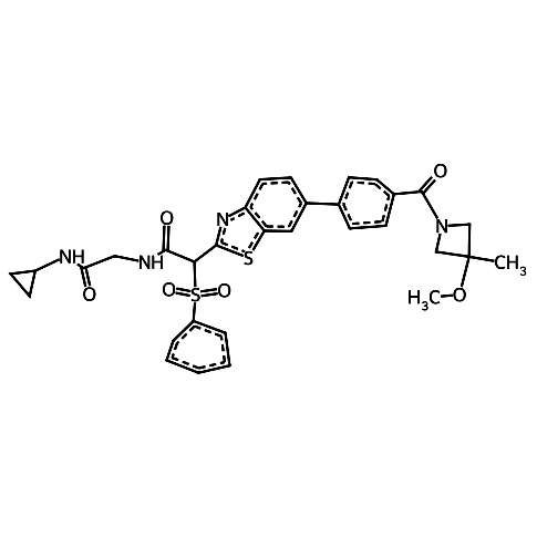 COC1(C)CN(C(=O)c2ccc(-c3ccc4nc(C(C(=O)NCC(=O)NC5CC5)S(=O)(=O)c5ccccc5)sc4c3)cc2)C1